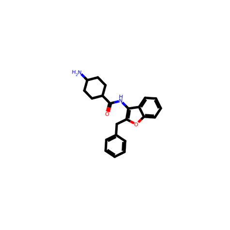 NC1CCC(C(=O)Nc2c(Cc3ccccc3)oc3ccccc23)CC1